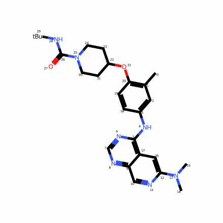 Cc1cc(Nc2ncnc3cnc(N(C)C)cc23)ccc1OC1CCN(C(=O)NC(C)(C)C)CC1